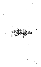 CCOC(=O)c1c(CNc2ccc(O)cc2)[nH]c(C(=O)OC(C)(C)C)c1CC